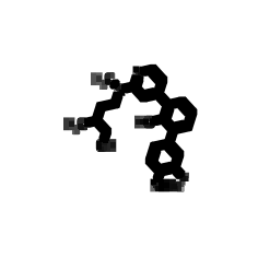 CC(=O)Nc1ccc(-c2cccc(-c3ccnc(N(C)CCC(C)CO)c3)c2O)cc1F